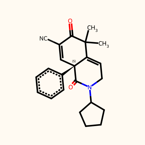 CC1(C)C(=O)C(C#N)=C[C@@]2(c3ccccc3)C(=O)N(C3CCCC3)CC=C12